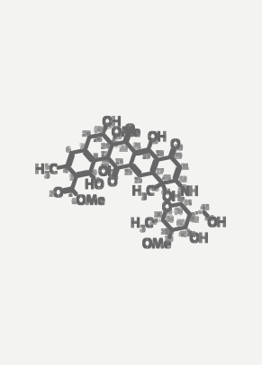 COC(=O)c1c(C)cc2c(c1O)[C@]1(O)C(=O)c3cc4c(c(O)c3C(=O)[C@]1(OC)[C@H](O)C2)C(=O)C=C(N[C@H]1O[C@@H](C)[C@H](OC)[C@@H](O)[C@H]1CO)C4(C)O